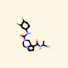 CC(NC(=O)c1ccn2c1CN(C(=O)Nc1ccc(F)c(F)c1)CC2)C(F)(F)F